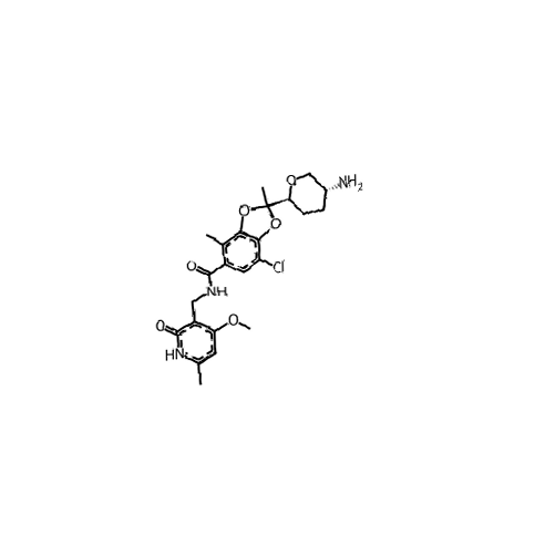 COc1cc(C)[nH]c(=O)c1CNC(=O)c1cc(Cl)c2c(c1C)OC(C)([C@@H]1CC[C@@H](N)CO1)O2